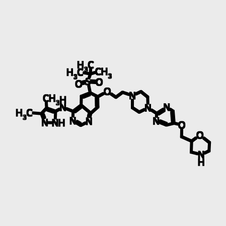 Cc1n[nH]c(Nc2ncnc3cc(OCCN4CCN(c5ncc(OCC6CNCCO6)cn5)CC4)c(S(=O)(=O)C(C)(C)C)cc23)c1C